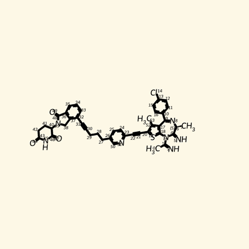 CC(=N)N1C(=N)[C@H](C)N=C(c2ccc(Cl)cc2)c2c1sc(C#Cc1ccc(CCCC#Cc3cccc4c3CN(C3CCC(=O)NC3=O)C4=O)cn1)c2C